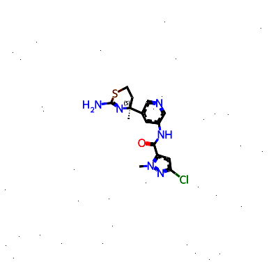 Cn1nc(Cl)cc1C(=O)Nc1cncc([C@]2(C)CCSC(N)=N2)c1